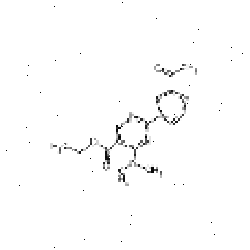 CCOC(=O)c1cnc(-c2cccc(C(C)=O)c2)nc1N(C)C